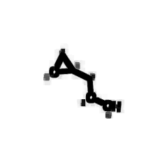 OOCC1CO1